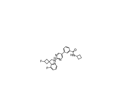 O=C(NC1CCC1)c1cccc(-c2cnc(NCC3(c4ncccc4F)CC(F)C3)nc2)c1